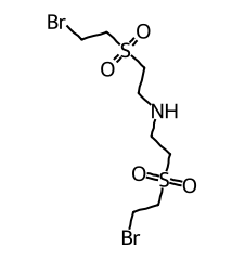 O=S(=O)(CCBr)CCNCCS(=O)(=O)CCBr